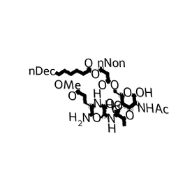 CCCCCCCCCCCCCCCC(=O)O[C@H](CCCCCCCCC)CC(=O)OC[C@H]1OC(O)[C@H](NC(C)=O)[C@H](OC(C)C(=O)N[C@@H](C)C(=O)N[C@H](CCC(=O)OC)C(N)=O)[C@@H]1O